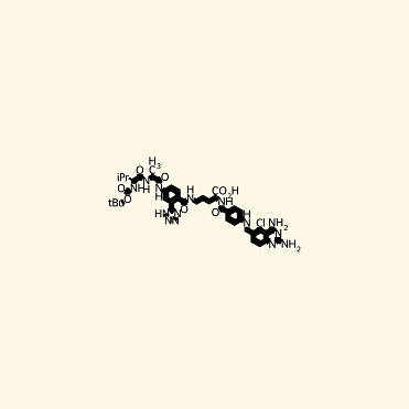 CC(C)[C@H](NC(=O)OC(C)(C)C)C(=O)N[C@@H](C)C(=O)Nc1ccc(C(=O)NCCC[C@H](NC(=O)c2ccc(NCc3ccc4nc(N)nc(N)c4c3Cl)cc2)C(=O)O)c(-c2nnn[nH]2)c1